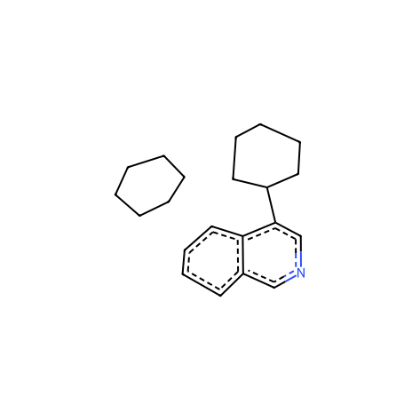 C1CCCCC1.c1ccc2c(C3CCCCC3)cncc2c1